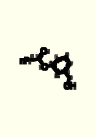 CCCC(=O)Oc1cccc(CO)c1